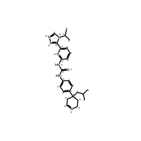 C[C](C)CC1(c2ccc(NC(=O)Nc3cccc(-c4nncn4C(C)C)n3)cc2)CC=NCC1